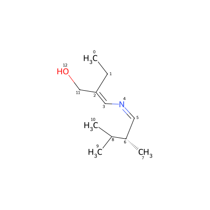 CC/C(=C\N=C/[C@H](C)C(C)C)CO